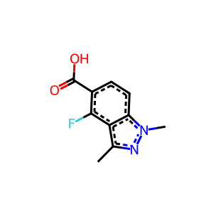 Cc1nn(C)c2ccc(C(=O)O)c(F)c12